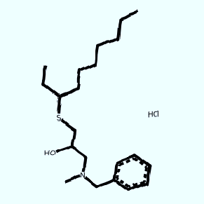 CCCCCCCC(CC)SCC(O)CN(C)Cc1ccccc1.Cl